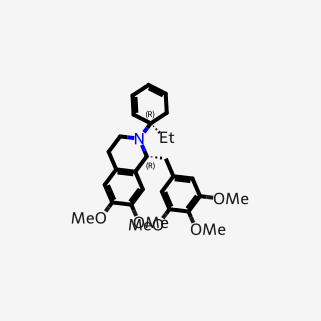 CC[C@]1(N2CCc3cc(OC)c(OC)cc3[C@H]2Cc2cc(OC)c(OC)c(OC)c2)C=CC=CC1